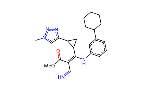 COC(=O)/C(C=N)=C(/Nc1cccc(C2CCCCC2)c1)C1CC1c1cn(C)nn1